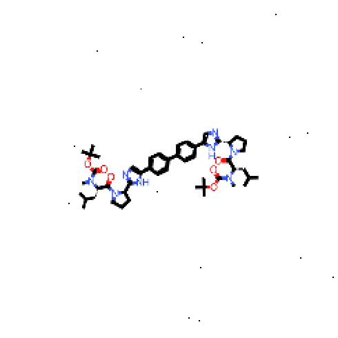 CC(C)C[C@@H](C(=O)N1CCCC1c1ncc(-c2ccc(-c3ccc(-c4cnc([C@@H]5CCCN5C(=O)[C@H](CC(C)C)N(C)C(=O)OC(C)(C)C)[nH]4)cc3)cc2)[nH]1)N(C)C(=O)OC(C)(C)C